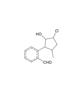 CC1CC(Cl)C(O)C1c1ccccc1C=O